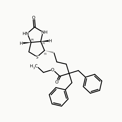 CCOC(=O)C(CCC[C@@H]1SC[C@@H]2NC(=O)N[C@@H]21)(Cc1ccccc1)Cc1ccccc1